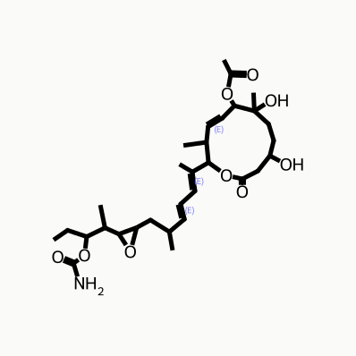 CCC(OC(N)=O)C(C)C1OC1CC(C)/C=C/C=C(\C)C1OC(=O)CC(O)CCC(C)(O)C(OC(C)=O)/C=C/C1C